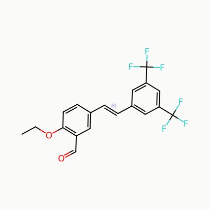 CCOc1ccc(/C=C/c2cc(C(F)(F)F)cc(C(F)(F)F)c2)cc1C=O